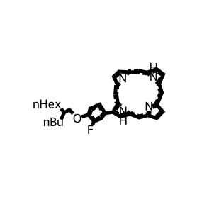 CCCCCCC(CCCC)COc1ccc(-c2cc3cc4nc(cc5ccc(cc6nc(cc2[nH]3)C=C6)[nH]5)C=C4)cc1F